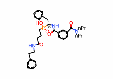 CCCN(CCC)C(=O)c1cccc(C(=O)N[C@@H](Cc2ccccc2)P(=O)(O)CCCC(=O)NCCc2ccccc2)c1